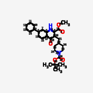 COC(=O)c1[nH]c2cc(-c3ccccc3)ccc2c(=O)c1CC1CCN(C(=O)OC(C)(C)C)CC1